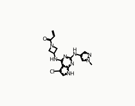 C=CC(=O)N1CC(Nc2nc(Nc3cnn(C)c3)nc3[nH]cc(Cl)c23)C1